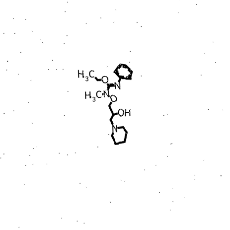 CCOC(=Nc1ccccc1)N(C)OCC(O)CN1CCCCC1